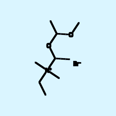 CC[N+](C)(C)C(C)OC(C)OC.[Br-]